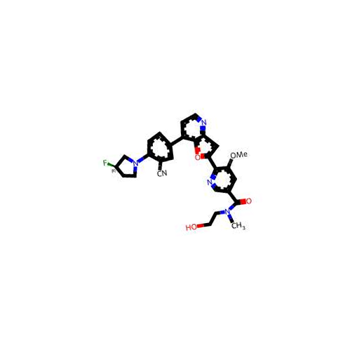 COc1cc(C(=O)N(C)CCO)cnc1-c1cc2nccc(-c3ccc(N4CC[C@@H](F)C4)c(C#N)c3)c2o1